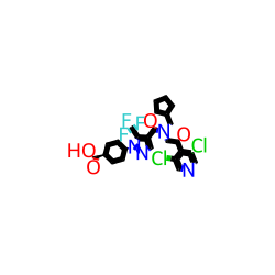 O=C(CN(CC1CCCC1)C(=O)c1cnn([C@H]2CC[C@H](C(=O)O)CC2)c1C(F)(F)F)c1c(Cl)cncc1Cl